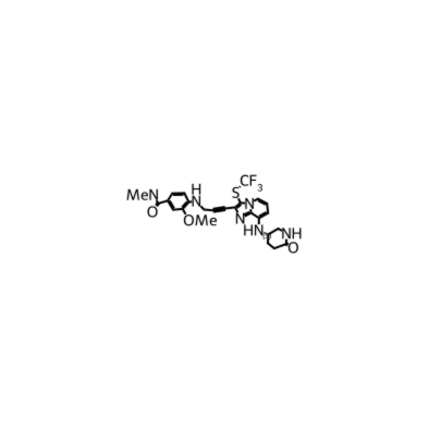 CNC(=O)c1ccc(NCC#Cc2nc3c(N[C@H]4CCC(=O)NC4)cccn3c2SC(F)(F)F)c(OC)c1